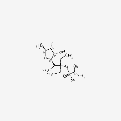 B[C@@H]1O[C@H](C(C)C(CC)(CC)OP(=O)(O)[C@@H](C)O)[C@@H](O)[C@H]1F